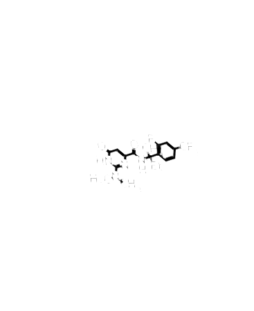 CC[C@](C)(NC(=O)c1cc(=O)[nH]c(N(C)C)n1)c1ccc(C(F)(F)F)cc1F